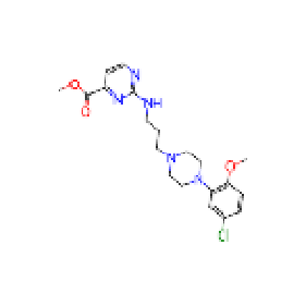 COC(=O)c1ccnc(NCCCN2CCN(c3cc(Cl)ccc3OC)CC2)n1